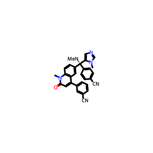 CN[C@](c1ccc(C#N)cc1)(c1ccc2c(c1)c(-c1cccc(C#N)c1)cc(=O)n2C)c1cncn1C